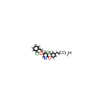 O=C(O)C=Cc1ccc(Oc2ccc(OCc3ccccc3Cl)cn2)c(Cl)c1